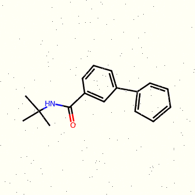 CC(C)(C)NC(=O)c1cccc(-c2ccccc2)c1